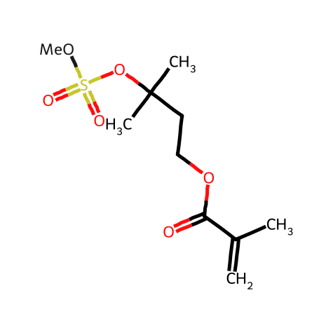 C=C(C)C(=O)OCCC(C)(C)OS(=O)(=O)OC